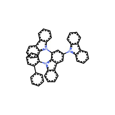 c1ccc(-c2ccccc2-n2c3ccccc3c3cc(-n4c5ccccc5c5ccccc54)cc(-n4c5ccccc5c5ccccc54)c32)cc1